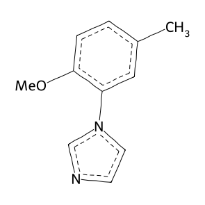 COc1ccc(C)cc1-n1ccnc1